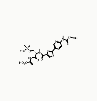 C=C(NC(=O)[C@H](CO[Si](C)(C)C(C)(C)C)NC(=O)c1csc(-c2ccc(NC(=O)OC(C)(C)C)nc2)n1)C(=O)O